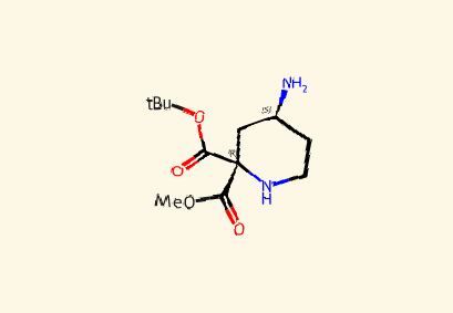 COC(=O)[C@@]1(C(=O)OC(C)(C)C)C[C@@H](N)CCN1